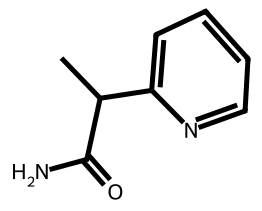 CC(C(N)=O)c1ccccn1